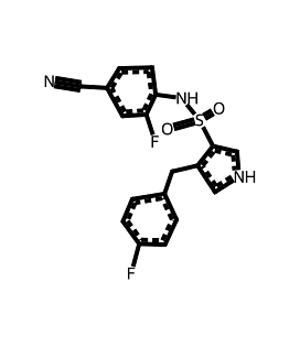 N#Cc1ccc(NS(=O)(=O)c2c[nH]cc2Cc2ccc(F)cc2)c(F)c1